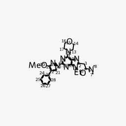 CCn1c(CC(=O)N(C)C)nc2c(N3CCOCC3)nc(-n3cc(-c4ccccc4)c(OC)n3)nc21